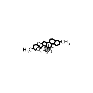 CC1CCC2(OC1)OC1CC3C4CCC5CC(C)CC[C@]5(C)C4CC(=O)[C@]3(C)C1[C@@H]2C